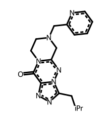 CC(C)Cc1nnc2c(=O)n3c(nn12)CN(Cc1ccccn1)CC3